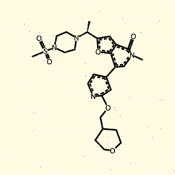 C[C@@H](c1cc2c(=O)n(C)cc(-c3ccnc(OCC4CCOCC4)c3)c2o1)N1CCN(S(C)(=O)=O)CC1